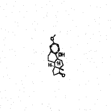 COc1ccc2c(c1)CC[C@@H]1[C@@H]3CCC(=O)[C@@]3(C)CC[C@]21O